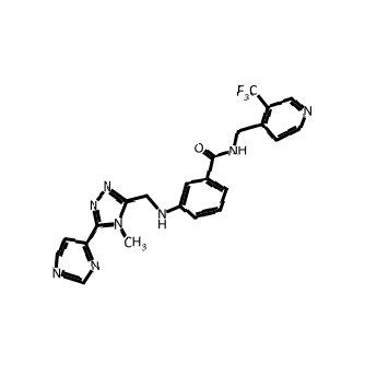 Cn1c(CNc2cccc(C(=O)NCc3ccncc3C(F)(F)F)c2)nnc1-c1ccncn1